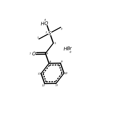 Br.CS(C)(O)CC(=O)c1ccccc1